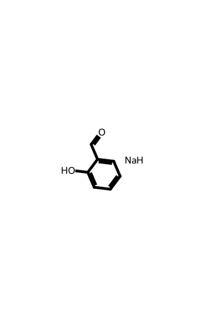 O=Cc1ccccc1O.[NaH]